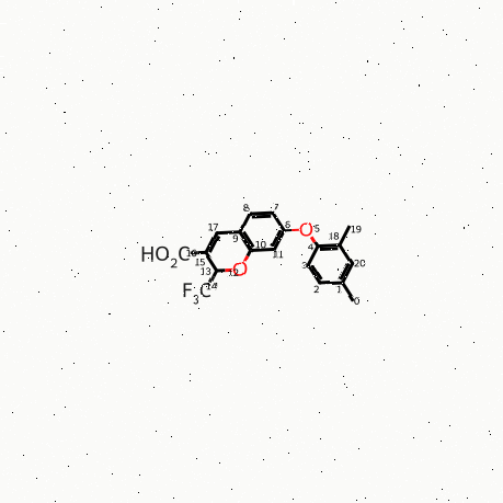 Cc1ccc(Oc2ccc3c(c2)OC(C(F)(F)F)C(C(=O)O)=C3)c(C)c1